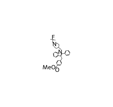 COC(=O)c1ccc(Cc2c(-c3ccccc3)n(CC3CCN(CC(C)(C)F)CC3)c3ccccc23)cc1